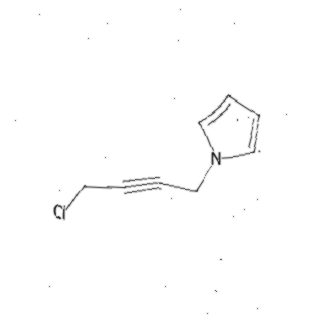 ClCC#CCn1[c]ccc1